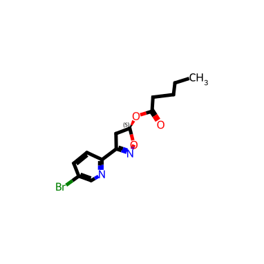 CCCCC(=O)O[C@@H]1CC(c2ccc(Br)cn2)=NO1